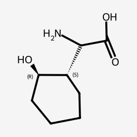 NC(C(=O)O)[C@@H]1CCCC[C@H]1O